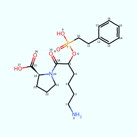 NCCCCC(OP(=O)(O)CCc1ccccc1)C(=O)N1CCC[C@H]1C(=O)O